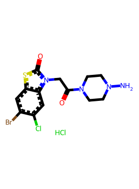 Cl.NN1CCN(C(=O)Cn2c(=O)sc3cc(Br)c(Cl)cc32)CC1